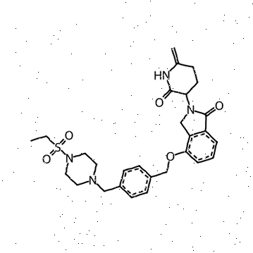 C=C1CCC(N2Cc3c(OCc4ccc(CN5CCN(S(=O)(=O)CC)CC5)cc4)cccc3C2=O)C(=O)N1